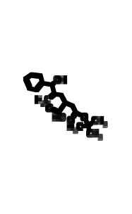 C=C(CC(CC(=O)OC(C)(C)C)C(=O)O)C(O)c1ccccc1